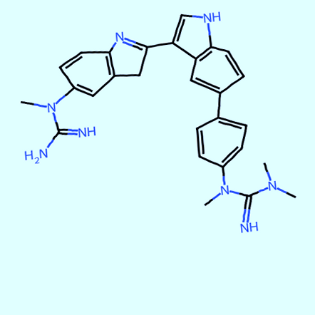 CN(C)C(=N)N(C)c1ccc(-c2ccc3[nH]cc(C4=Nc5ccc(N(C)C(=N)N)cc5C4)c3c2)cc1